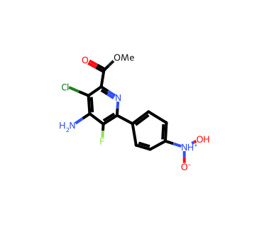 COC(=O)c1nc(-c2ccc([NH+]([O-])O)cc2)c(F)c(N)c1Cl